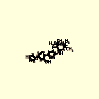 CC1(C)C[C@H](Nc2ccc(-c3ncc(-c4cn[nH]c4)cc3O)nn2)[C@@H](F)C(C)(C)N1